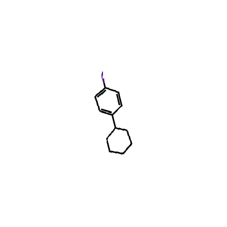 Ic1ccc(C2CCCCC2)cc1